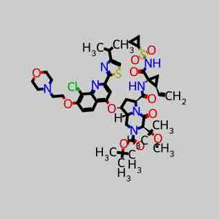 C=C[C@@H]1C[C@]1(NC(=O)[C@@H]1C[C@@H](Oc2cc(-c3nc(C(C)C)cs3)nc3c(Cl)c(OCCN4CCOCC4)ccc23)[C@H]2CN(C(=O)OC(C)(C)C)[C@H](C(C)(C)OC)C(=O)N21)C(=O)NS(=O)(=O)C1CC1